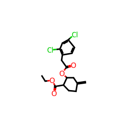 C=C1CCC(C(=O)OCC)C(OC(=O)Cc2ccc(Cl)cc2Cl)C1